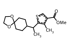 COC(=O)c1csc(C(C)C2CCC3(CC2)OCCO3)c1C